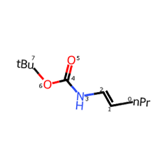 CCC/C=C/NC(=O)OC(C)(C)C